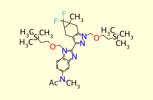 CC(=O)N(C)c1ccc2c(c1)nc(-c1nn(COCC[Si](C)(C)C)c3c1CC1C(F)(F)C1(C)C3)n2COCC[Si](C)(C)C